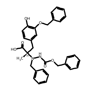 C[C@](Cc1ccc(O)c(OCc2ccccc2)c1)(C(=O)O)N(Cc1ccccc1)NC(=O)OCc1ccccc1